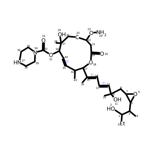 CCC(O)C(C)C1OC1CC(C)(O)/C=C/C=C(\C)C1OC(=O)CC(ON)CCC(C)(O)C(OC(=O)N2CCNCC2)/C=C/C1C